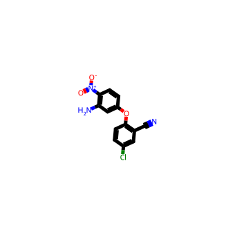 N#Cc1cc(Cl)ccc1Oc1ccc([N+](=O)[O-])c(N)c1